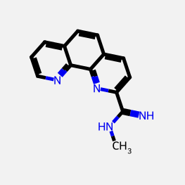 CNC(=N)c1ccc2ccc3cccnc3c2n1